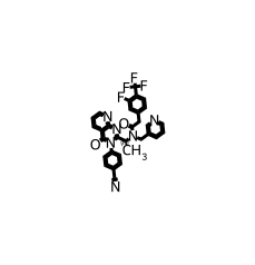 C[C@H](c1nc2ncccc2c(=O)n1-c1ccc(C#N)cc1)N(Cc1cccnc1)C(=O)Cc1ccc(C(F)(F)F)c(F)c1